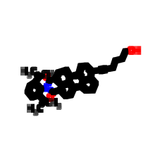 CC(C)c1cccc(C(C)C)c1N1C(=O)c2ccc3c4cccc5c(C#CCCCCO)ccc(c6ccc(c2c36)C1=O)c54